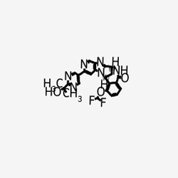 CC(C)(O)c1ncc(-c2cc3c(cn2)nc2n3[C@@H]3C[C@H]2NC(=O)c2cccc(OC(F)F)c23)cn1